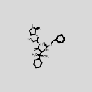 CC(C)(C1CCCCC1)C(NC(=O)OCc1ccccc1)C(=O)NC(CO)C[C@@H]1CCNC1=O